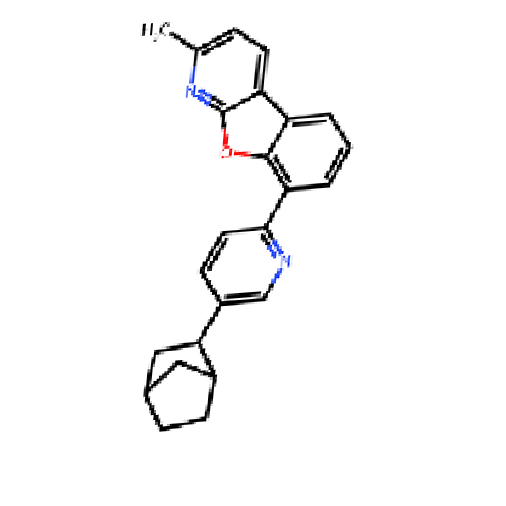 Cc1ccc2c(n1)oc1c(-c3ccc(C4CC5CCC4C5)cn3)cccc12